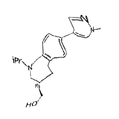 CC(C)N1C[C@H](CO)Cc2cc(-c3cnn(C)c3)ccc21